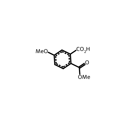 COC(=O)c1ccc(OC)cc1C(=O)O